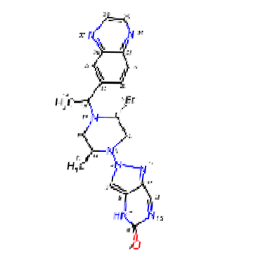 CC[C@@H]1CN(n2cc3[nH]c(=O)ncc3n2)[C@@H](C)CN1C(C)c1ccc2nccnc2c1